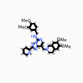 COc1ccc(CNc2ncc(CN3CCc4cc(OC)c(OC)cc4C3)c3nc(-c4ccccn4)nn23)cc1OC